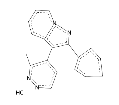 Cc1nnccc1-c1c(-c2ccccc2)nn2ccccc12.Cl